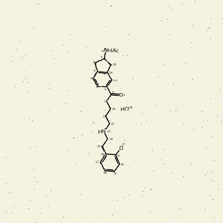 CC(=O)NC1Cc2ccc(C(=O)CCCCNCCc3ccccc3Cl)cc2C1.Cl